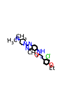 CCOc1ccc(/C=C/C(=O)Nc2ccc3nc(N4CCC(N(C)C)CC4)nc(C)c3c2)c(Cl)c1